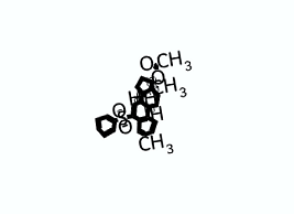 CC(=O)O[C@H]1CC[C@H]2[C@@H]3C=C(S(=O)(=O)c4ccccc4)c4cc(C)ccc4[C@H]3CC[C@]12C